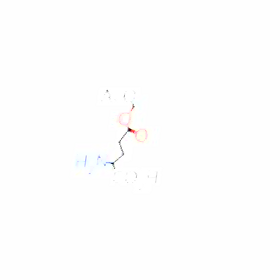 CC(=O)OCOC(=O)CCC(N)C(=O)O